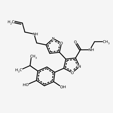 C=CCNCc1cc(-c2c(C(=O)NCC)noc2-c2cc(C(C)C)c(O)cc2O)on1